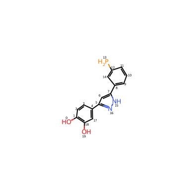 Oc1ccc(-c2cc(-c3cccc(P)c3)[nH]n2)cc1O